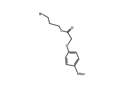 CCCCCCCCCc1ccc(OCC(=O)OCCCBr)cc1